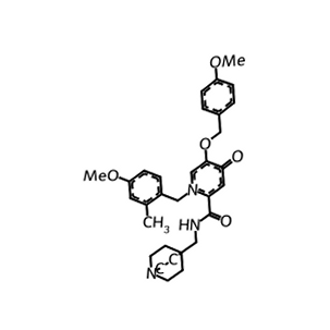 COc1ccc(COc2cn(Cc3ccc(OC)cc3C)c(C(=O)NCC34CCN(CC3)CC4)cc2=O)cc1